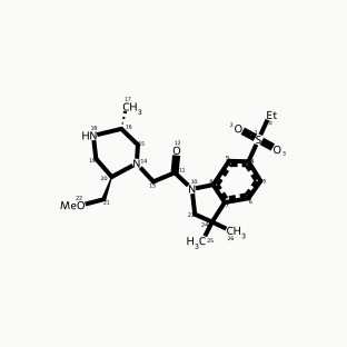 CCS(=O)(=O)c1ccc2c(c1)N(C(=O)CN1C[C@@H](C)NC[C@@H]1COC)CC2(C)C